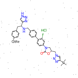 COc1ccc(CC(NCc2ccc(-c3ccc(N4CC(Cn5cc([Si](C)(C)C)nn5)OC4=O)cc3F)cc2)c2c[nH]nn2)cc1.Cl